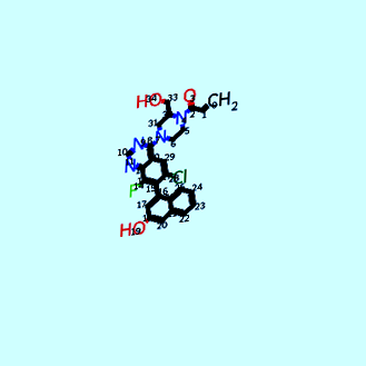 C=CC(=O)N1CCN(c2ncnc3c(F)c(-c4cc(O)cc5ccccc45)c(Cl)cc23)CC1CO